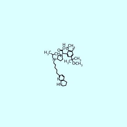 COc1c(F)cc(C(C)(C)OC)cc1C(C(=O)O)N1CC[C@@H](N(CCCCCc2ccc3c(n2)NCCC3)CC(C)C)C1